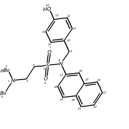 CCCCN(CCCC)CCS(=O)(=O)N(Cc1ccc(O)cc1)c1ccc2ccccc2c1